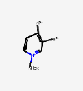 CCCCCC[n+]1ccc(CCC)c(CCC)c1